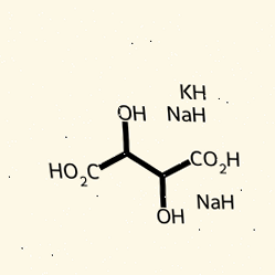 O=C(O)C(O)C(O)C(=O)O.[KH].[NaH].[NaH]